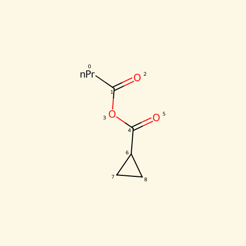 CCCC(=O)OC(=O)C1CC1